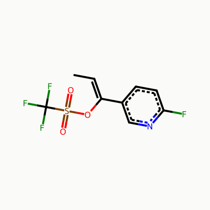 CC=C(OS(=O)(=O)C(F)(F)F)c1ccc(F)nc1